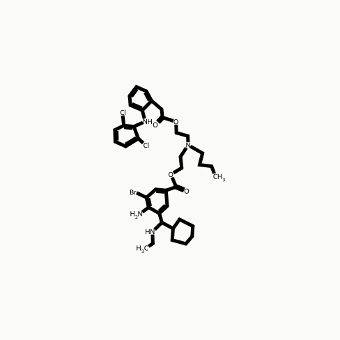 CCCCN(CCOC(=O)Cc1ccccc1Nc1c(Cl)cccc1Cl)CCOC(=O)c1cc(Br)c(N)c(C(NCC)C2CCCCC2)c1